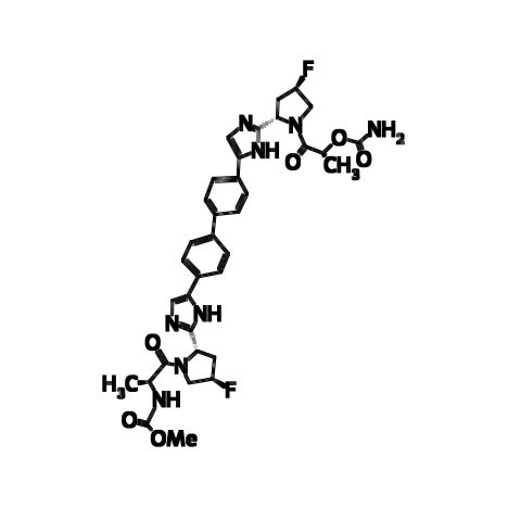 COC(=O)N[C@@H](C)C(=O)N1C[C@H](F)C[C@H]1c1ncc(-c2ccc(-c3ccc(-c4cnc([C@@H]5C[C@@H](F)CN5C(=O)[C@H](C)OC(N)=O)[nH]4)cc3)cc2)[nH]1